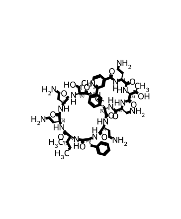 CC[C@H](C)[C@@H]1NC(=O)[C@@H](Cc2ccccc2)NC(=O)[C@H](CCN)NC(=O)[C@@H](NC(=O)[C@H](CN)NC(=O)[C@@H](NC(=O)[C@H](CCN)NC(=O)c2ccnc(-c3ccccc3)c2)[C@@H](C)O)CCNC(=O)[C@H]([C@@H](C)O)NC(=O)[C@H](CCN)NC(=O)[C@H](CCN)NC1=O